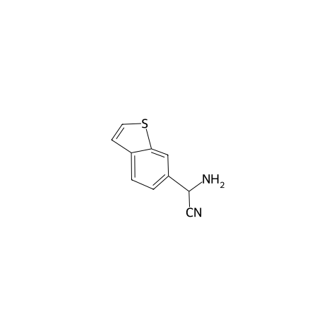 N#CC(N)c1ccc2ccsc2c1